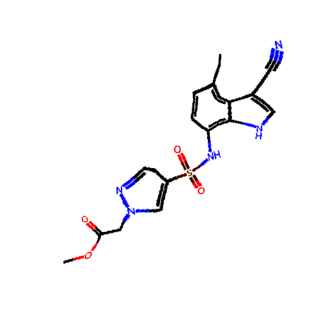 COC(=O)Cn1cc(S(=O)(=O)Nc2ccc(C)c3c(C#N)c[nH]c23)cn1